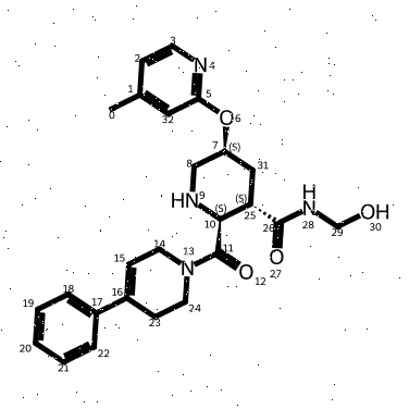 Cc1ccnc(O[C@@H]2CN[C@H](C(=O)N3CC=C(c4ccccc4)CC3)[C@@H](C(=O)NCO)C2)c1